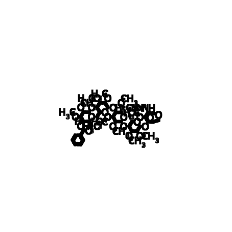 COCC1O[C@@H](O[C@H]2C(OC)C(OC)[C@@H](O[C@H]3C(OC)C(OC)[C@H](O[C@H]4C5CO[C@H](O5)[C@@H](N=[N+]=[N-])C4OC)O[C@H]3COC)O[C@H]2COC)[C@@H](OC)C(OC)[C@@H]1O[C@@H]1OC2COC(c3ccccc3)O[C@H]2C(OC)[C@@H]1OC